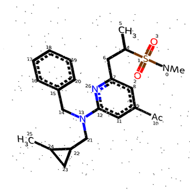 CNS(=O)(=O)C(C)Cc1cc(C(C)=O)cc(N(Cc2ccccc2)CC2CC2C)n1